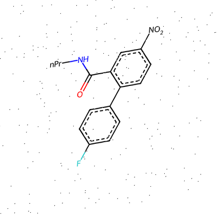 CCCNC(=O)c1cc([N+](=O)[O-])ccc1-c1ccc(F)cc1